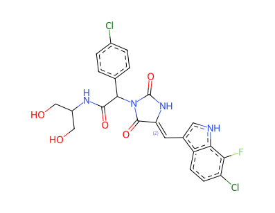 O=C(NC(CO)CO)C(c1ccc(Cl)cc1)N1C(=O)N/C(=C\c2c[nH]c3c(F)c(Cl)ccc23)C1=O